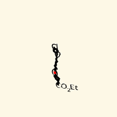 CCOC(=O)CCc1ccc(OCCCCCCCCCCOc2ccc(Cl)cc2)cc1